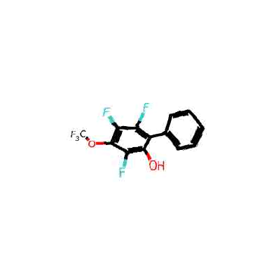 Oc1c(F)c(OC(F)(F)F)c(F)c(F)c1-c1ccccc1